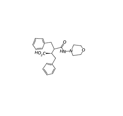 O=C(NN1CCOCC1)C(Cc1ccccc1)[C@@H](Cc1ccccc1)C(=O)O